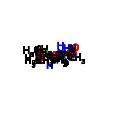 CC(C)n1c(=O)n(C2CCC(=O)NC2=O)c2ccc(C3CCN(C(=O)Nc4cccc(CS(=O)(=O)N5CC[C@H](Nc6cccc(-c7sc(C(=O)OC(C)(C)C)c(OCC(=O)OC(C)(C)C)c7Cl)c6)CC5(C)C)c4)CC3(F)F)cc21